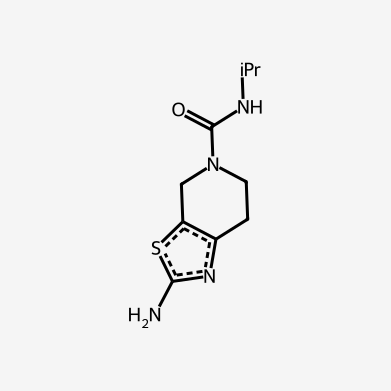 CC(C)NC(=O)N1CCc2nc(N)sc2C1